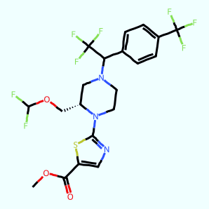 COC(=O)c1cnc(N2CCN(C(c3ccc(C(F)(F)F)cc3)C(F)(F)F)C[C@H]2COC(F)F)s1